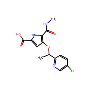 CNC(=O)c1[nH]c(C(=O)O)cc1OC(C)c1ccc(Cl)cn1